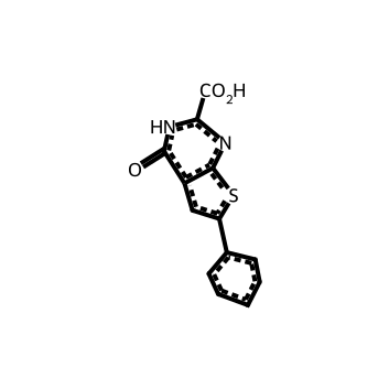 O=C(O)c1nc2sc(-c3ccccc3)cc2c(=O)[nH]1